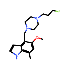 COc1cc(C)c2[nH]ccc2c1CN1CCN(CCCF)CC1